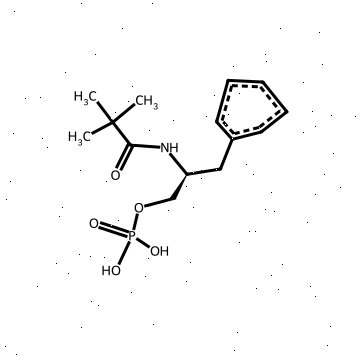 CC(C)(C)C(=O)N[C@H](COP(=O)(O)O)Cc1ccccc1